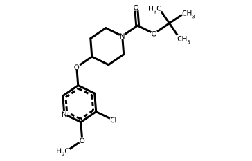 COc1ncc(OC2CCN(C(=O)OC(C)(C)C)CC2)cc1Cl